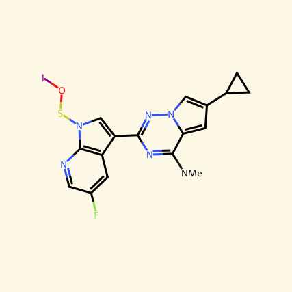 CNc1nc(-c2cn(SOI)c3ncc(F)cc23)nn2cc(C3CC3)cc12